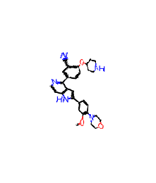 COc1cc(-c2cc3c(-c4ccc(OC5CCNCC5)c(C#N)c4)nccc3[nH]2)ccc1N1CCOCC1